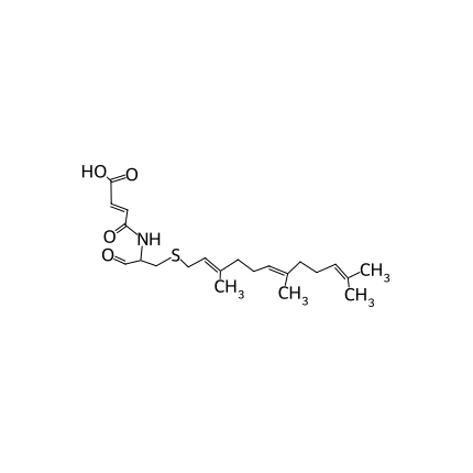 CC(C)=CCC/C(C)=C/CC/C(C)=C/CSCC(C=O)NC(=O)/C=C/C(=O)O